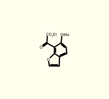 CCOC(=O)C(=O)c1c(OC)ccc2ccoc12